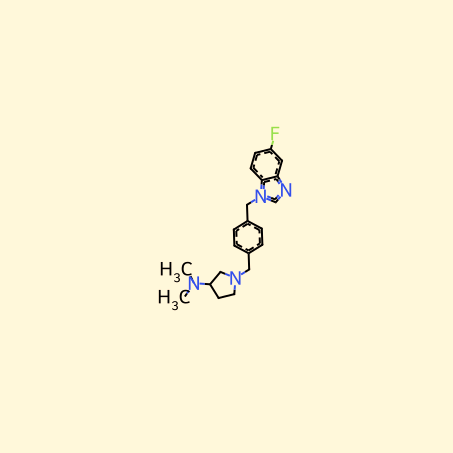 CN(C)C1CCN(Cc2ccc(Cn3cnc4cc(F)ccc43)cc2)C1